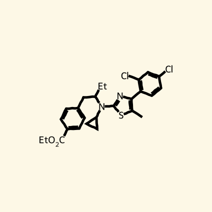 CCOC(=O)c1ccc(CC(CC)N(c2nc(-c3ccc(Cl)cc3Cl)c(C)s2)C2CC2)cc1